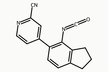 N#Cc1cc(-c2ccc3c(c2N=C=O)CCC3)ccn1